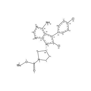 CC(C)(C)OC(=O)N1CC[C@@H](n2c(Cl)c(-c3ccc(Cl)cc3)c3c(N)ncnc32)C1